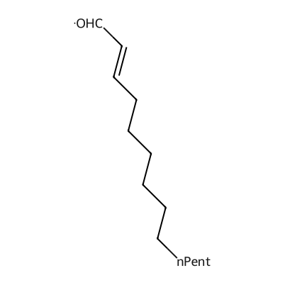 CCCCCCCCCCCC=C[C]=O